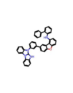 c1ccc(-c2ccccc2Nc2cccc3oc4ccc(-c5cccc(N6c7ccccc7N7c8ccccc8NC67)c5)cc4c23)cc1